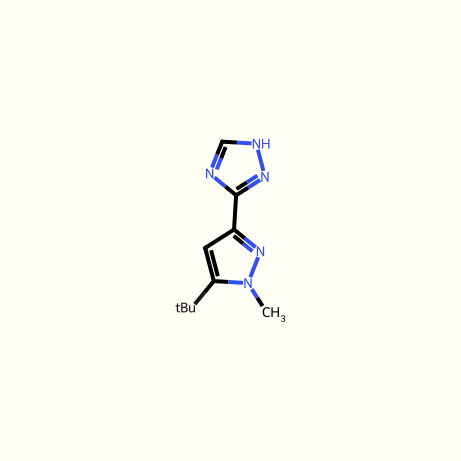 Cn1nc(-c2nc[nH]n2)cc1C(C)(C)C